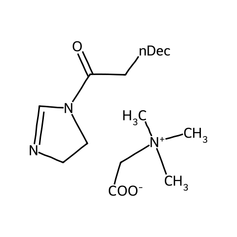 CCCCCCCCCCCC(=O)N1C=NCC1.C[N+](C)(C)CC(=O)[O-]